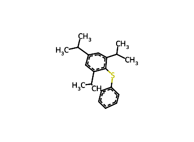 CC(C)c1cc(C(C)C)c(Sc2ccccc2)c(C(C)C)c1